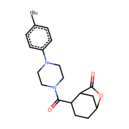 CC(C)(C)c1ccc(N2CCN(C(=O)C3CCC4CC3C(=O)O4)CC2)cc1